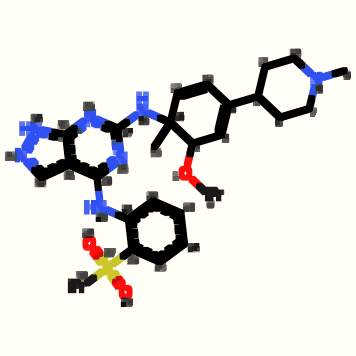 CC(C)OC1C=C(C2CCN(C)CC2)C=CC1(C)Nc1nc(Nc2ccccc2S(=O)(=O)C(C)C)c2cn[nH]c2n1